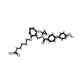 [2H]C1(N(Cc2ccccc2OCCCCCC(=O)O)C(=O)c2ccc(-c3ccc(OC)cc3)cc2)CC1